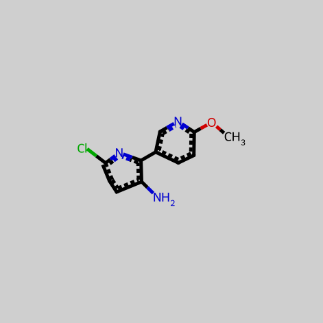 COc1ccc(-c2nc(Cl)ccc2N)cn1